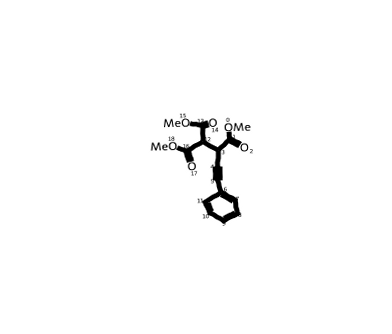 COC(=O)C(C#Cc1ccccc1)C(C(=O)OC)C(=O)OC